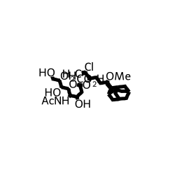 C=C(Cl)C(CCC(OC)=C1C2CC3CC(C2)CC1C3)OC1(C(=O)O)CC(O)C(NC(C)=O)C(C(O)C(O)CO)O1